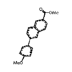 COC(=O)c1ccc2cc(-c3ccc(OC)cc3)ccc2c1